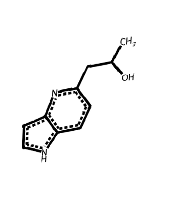 CC(O)Cc1ccc2[nH]ccc2n1